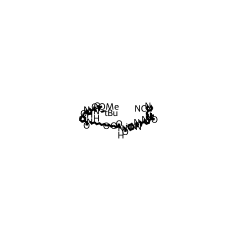 COC(=O)[C@H](CCC(C)(C)C)NC(=O)c1ccc(Oc2cccc(C(=O)NCCCCCCOCCOCC(=O)NCC(=O)N3CCN(c4ncc(-c5ccc6c(n5)N(Cc5cccnc5C#N)C(C)(C)C6=O)cn4)C[C@H]3C)c2)nc1